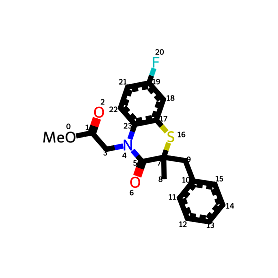 COC(=O)CN1C(=O)C(C)(Cc2ccccc2)Sc2cc(F)ccc21